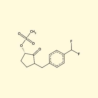 CS(=O)(=O)O[C@H]1CCC(Cc2ccc(C(F)F)cc2)C1=O